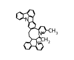 C=C1C2C(CCc3cc4c(cc3-c3ccc(C)c[n+]31)c1cccc3c5ccccc5n4c31)c1ccccc1-c1cccc[n+]12